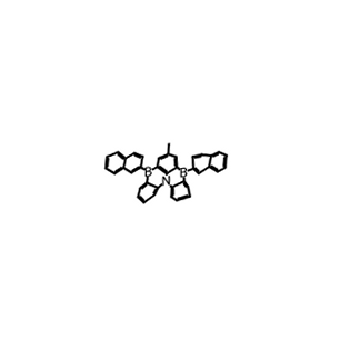 Cc1cc2c3c(c1)B(c1ccc4ccccc4c1)c1ccccc1N3c1ccccc1B2c1ccc2ccccc2c1